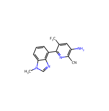 Cn1cnc2c(-c3nc(C#N)c(N)cc3C(F)(F)F)cccc21